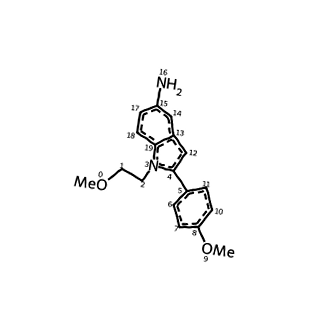 COCCn1c(-c2ccc(OC)cc2)cc2cc(N)ccc21